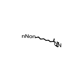 CCCCCCCCCCCCCCCCC(C)n1ccnc1